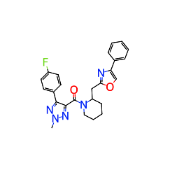 Cn1nc(C(=O)N2CCCCC2Cc2nc(-c3ccccc3)co2)c(-c2ccc(F)cc2)n1